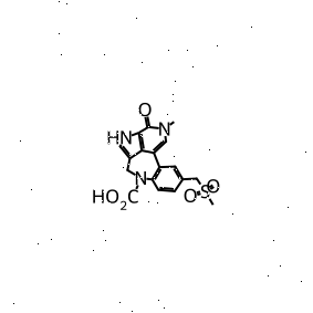 Cn1cc2c3c(c[nH]c3c1=O)CN(C(=O)O)c1ccc(CS(C)(=O)=O)cc1-2